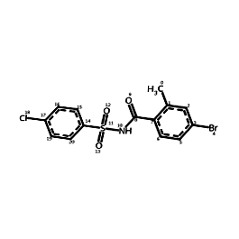 Cc1cc(Br)ccc1C(=O)NS(=O)(=O)c1ccc(Cl)cc1